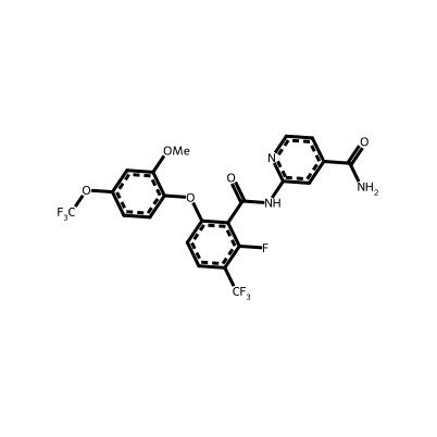 COc1cc(OC(F)(F)F)ccc1Oc1ccc(C(F)(F)F)c(F)c1C(=O)Nc1cc(C(N)=O)ccn1